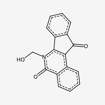 O=C1c2ccccc2-c2c1c1ccccc1c(=O)n2CO